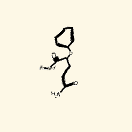 CC(C)NC(=O)C(CCC(N)=O)Oc1ccccc1